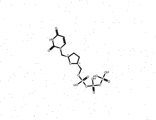 O=c1ccn(C[C@H]2CC[C@@H](COP(=O)(O)OP(=O)(O)OP(=O)(O)O)O2)c(=O)[nH]1